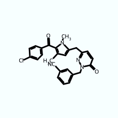 Cc1cc(Cc2ccc(=O)n(Cc3cccc(C#N)c3)n2)n(C)c1C(=O)c1ccc(Cl)cc1